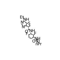 CCCS(=O)(=O)Nc1ccc(F)c(NC(=O)c2csc3c(NCC)ncnc23)c1F